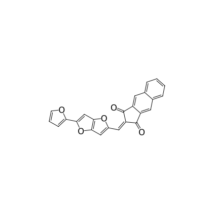 O=C1C(=Cc2cc3oc(-c4ccco4)cc3o2)C(=O)c2cc3ccccc3cc21